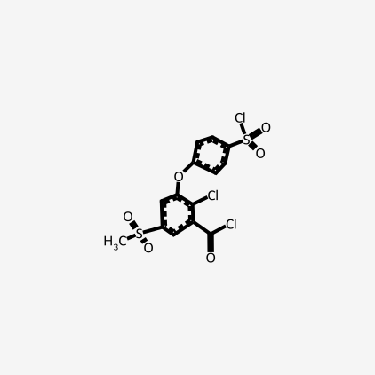 CS(=O)(=O)c1cc(Oc2ccc(S(=O)(=O)Cl)cc2)c(Cl)c(C(=O)Cl)c1